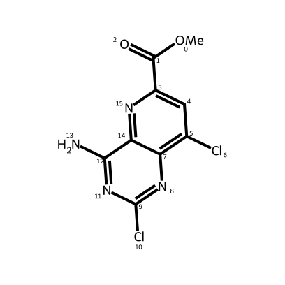 COC(=O)c1cc(Cl)c2nc(Cl)nc(N)c2n1